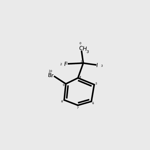 CC(F)(I)c1ccccc1Br